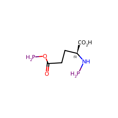 O=C(CC[C@H](NP)C(=O)O)OP